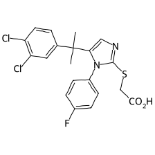 CC(C)(c1ccc(Cl)c(Cl)c1)c1cnc(SCC(=O)O)n1-c1ccc(F)cc1